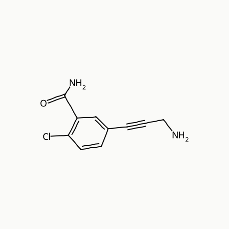 NCC#Cc1ccc(Cl)c(C(N)=O)c1